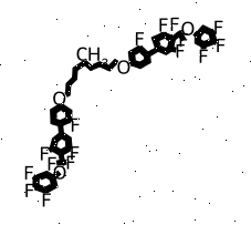 CC(CCCCOc1ccc(-c2cc(F)c(C(F)(F)Oc3cc(F)c(F)c(F)c3)c(F)c2)c(F)c1)CCCCOc1ccc(-c2cc(F)c(C(F)(F)Oc3cc(F)c(F)c(F)c3)c(F)c2)c(F)c1